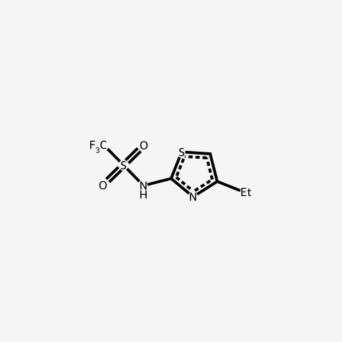 CCc1csc(NS(=O)(=O)C(F)(F)F)n1